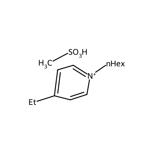 CCCCCC[n+]1ccc(CC)cc1.CS(=O)(=O)O